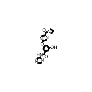 O=C(Nc1cnccn1)c1cc(O)cc(Oc2cnc(C(=O)N3CCC3)cn2)c1